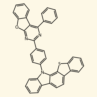 c1ccc(-c2nc(-c3ccc(-n4c5ccccc5c5ccc6c7ccccc7sc6c54)cc3)nc3oc4ccccc4c23)cc1